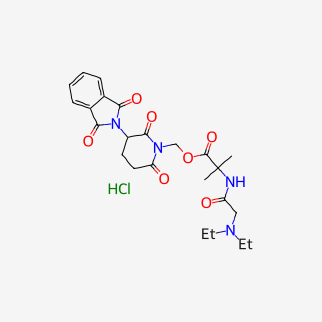 CCN(CC)CC(=O)NC(C)(C)C(=O)OCN1C(=O)CCC(N2C(=O)c3ccccc3C2=O)C1=O.Cl